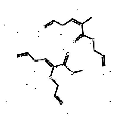 C=CCC=C(C)C(=O)OCC=C.C=CCC=C(OCC=C)C(=O)OC